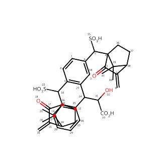 C=C1C(=O)C2(C(c3ccc(C(C45CCC(C(=C)C4=O)C5(C)C)S(=O)(=O)O)c(C(c4ccccc4)C(O)C(=O)O)c3)S(=O)(=O)O)CCC1C2(C)C